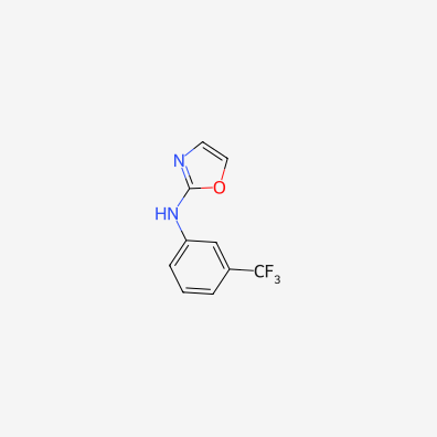 FC(F)(F)c1cccc(Nc2ncco2)c1